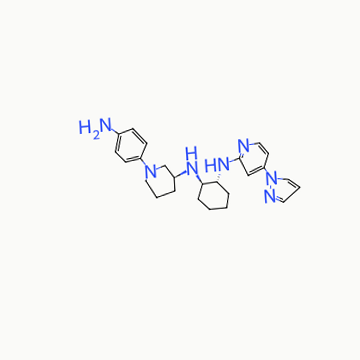 Nc1ccc(N2CCC[C@H](N[C@@H]3CCCC[C@H]3Nc3cc(-n4cccn4)ccn3)C2)cc1